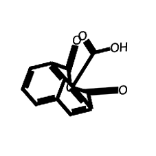 O=C1OC(=O)c2cccc3cc1cc(C(=O)O)c23